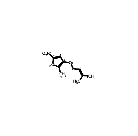 CC(C)=CCOc1cc([N+](=O)[O-])oc1C